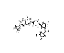 Cc1cc(Nc2cc(C)[nH]n2)nc(N2CCN(C(=O)O[C@H](C)c3ccc(-n4cc(F)cn4)nc3)CC2)n1